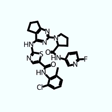 Cc1cccc(Cl)c1NC(=O)c1cnc(Nc2nc(N3CCCC3C(=O)Nc3ccc(F)nc3)nc3c2CCC3)s1